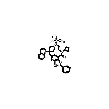 CC(C)(C)[Si](C)(C)OCCN(C(=O)c1nc(CC2(n3ccc4cccnc43)CCCC2)nc(O)c1OCc1ccccc1)C1CCC1